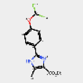 CCOC(=O)c1nc(-c2ccc(OC(F)F)cc2)[nH]c1C